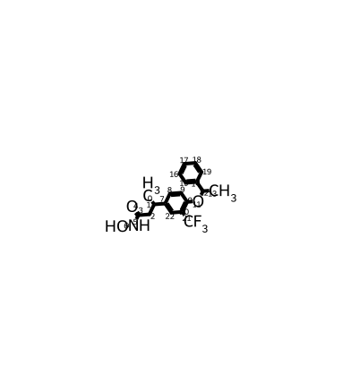 CC(CC(=O)NO)c1ccc(OC(C)c2ccccc2)c(C(F)(F)F)c1